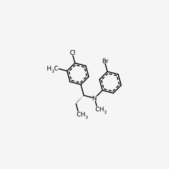 CC[C@H](c1ccc(Cl)c(C)c1)N(C)c1cccc(Br)c1